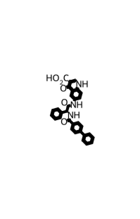 O=C(N[C@H](C(=O)Nc1ccc2[nH]cc(C(=O)O)c(=O)c2c1)c1ccccc1)c1ccc(-c2ccccc2)cc1